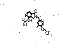 CCC(=O)Nc1nccc2c1CN(Cc1cc(C)c(OCC(F)(F)F)cn1)C2=O